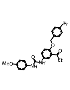 CCC(=O)c1cc(NC(=O)Nc2ccc(OC)cc2)ccc1OCc1ccc(C(C)C)cc1